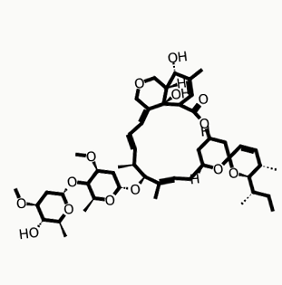 CC[C@H](C)[C@H]1OC2(C=C[C@@H]1C)C[C@@H]1C[C@@H](C/C=C(\C)[C@@H](O[C@H]3C[C@H](OC)C(O[C@H]4C[C@H](OC)[C@@H](O)[C@H](C)O4)[C@H](C)O3)[C@@H](C)/C=C/C=C3\COC[C@@H]4[C@H](O)C(C)=CC(C(=O)O1)[C@]34O)O2